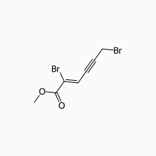 COC(=O)C(Br)=CC#CCBr